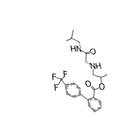 CC(C)CNC(=O)CNCC(C)OC(=O)c1ccccc1-c1ccc(C(F)(F)F)cc1